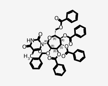 Cc1cn([C@@H]2O[C@H](COC(=O)c3ccccc3)[C@@H](OC(=O)c3ccccc3)[C@H](OC(=O)c3ccccc3)[C@@H](OC(=O)c3ccccc3)[C@H]2OC(=O)c2ccccc2)c(=O)[nH]c1=O